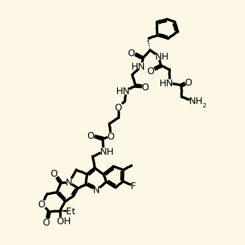 CC[C@@]1(O)C(=O)OCc2c1cc1n(c2=O)Cc2c-1nc1cc(F)c(C)cc1c2CNC(=O)OCCOCNC(=O)CNC(=O)[C@H](Cc1ccccc1)NC(=O)CNC(=O)CN